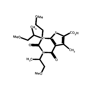 COCC[N+]1(C(C)COC)C(=O)N(C(C)COC)C(=O)c2c1sc(C(=O)O)c2C